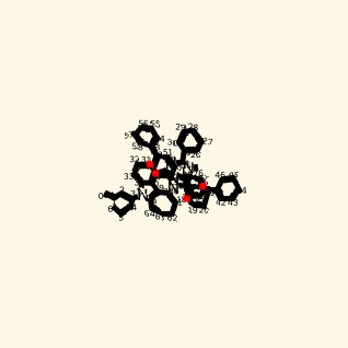 C=C/C=C(\C=C/C)n1c2c(c3c(C(/N=C(\N=C)c4ccccc4)=N/Cc4ccccc4)cccc31)C(N(c1ccc(-c3ccccc3)cc1)c1ccc(-c3ccccc3)cc1)=CCC=C2